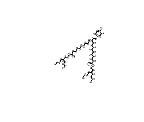 CCCCC(CCCC)CCOC(=O)CCCCCCCCCC(CCCCCCCCCC(=O)OCCC(CCCC)CCCC)CCN1CCN(C)CC1